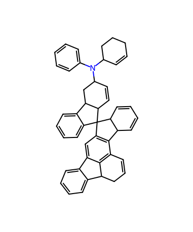 C1=CC2c3c(cc4c5c3C=CCC5c3ccccc3-4)C3(c4ccccc4C4CC(N(c5ccccc5)C5C=CCCC5)C=CC43)C2C=C1